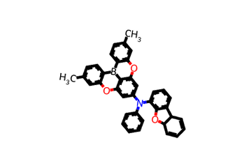 Cc1ccc2c(c1)Oc1cc(N(c3ccccc3)c3cccc4c3OC3C=CC=CC43)cc3c1B2c1ccc(C)cc1O3